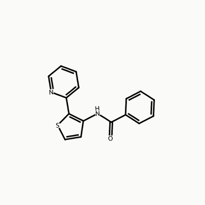 O=C(Nc1ccsc1-c1ccccn1)c1ccccc1